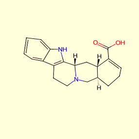 O=C(O)C1=CCC[C@H]2CN3CCc4c([nH]c5ccccc45)[C@@H]3C[C@H]12